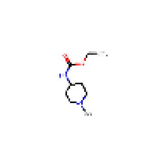 CC(=O)N1CCC(NC(=O)OCC(Cl)(Cl)Cl)CC1